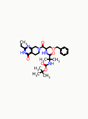 CCc1nc2c(c(=O)[nH]1)CCN(C(=O)C(COCc1ccccc1)NC(=O)C(C)(C)NC(=O)OC(C)(C)C)C2